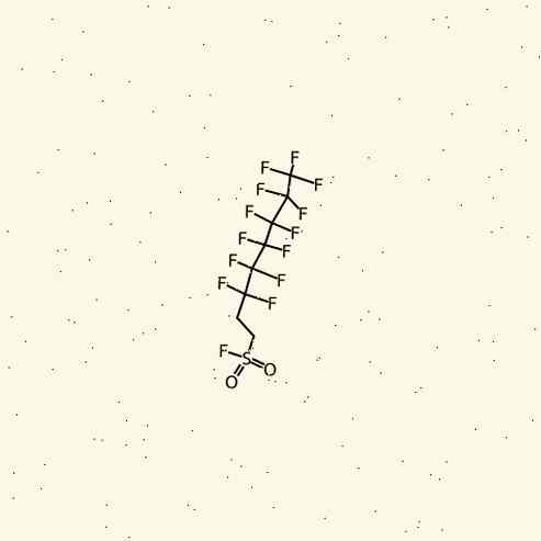 O=S(=O)(F)CCC(F)(F)C(F)(F)C(F)(F)C(F)(F)C(F)(F)C(F)(F)F